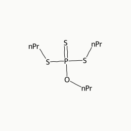 CCCOP(=S)(SCCC)SCCC